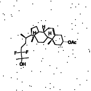 CC(=O)O[C@@H]1CC[C@@]2(C)C(=CC[C@H]3[C@@H]4CC[C@H]([C@H](C)CCC(F)(F)C(C)(C)O)[C@@]4(C)CC[C@@H]32)C1